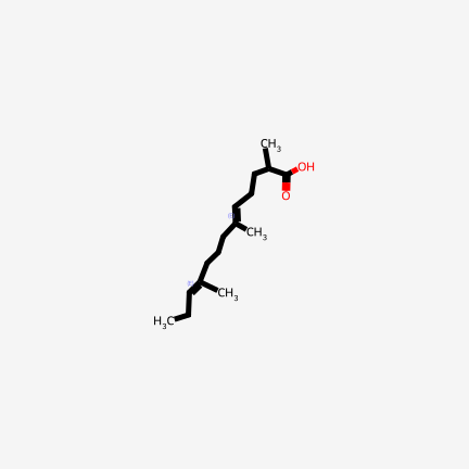 CC/C=C(\C)CCC/C(C)=C/CCC(C)C(=O)O